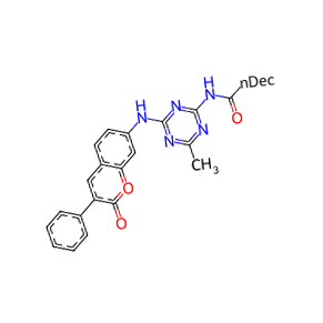 CCCCCCCCCCC(=O)Nc1nc(C)nc(Nc2ccc3cc(-c4ccccc4)c(=O)oc3c2)n1